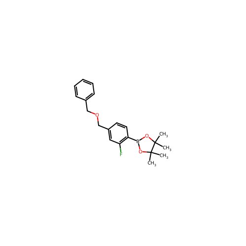 CC1(C)OB(c2ccc(COCc3ccccc3)cc2F)OC1(C)C